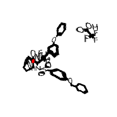 NC1CC2CCC(C1)N2C(=O)[C@@H](NS(=O)(=O)c1ccc(OCC2CCCCC2)cc1)C(F)(F)c1cccc(Oc2ccccc2)c1.O=C(O)C(F)(F)F